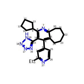 CCc1cc(-c2c3c(nc(C4CCCC4)c2-c2nnn[nH]2)CCCCC3)ccn1